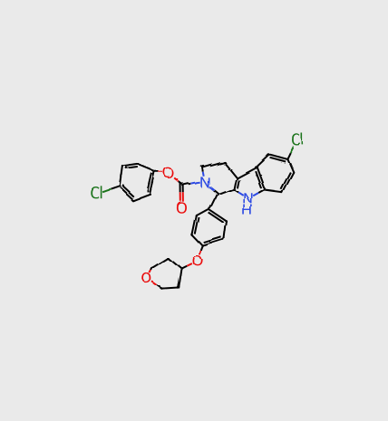 O=C(Oc1ccc(Cl)cc1)N1CCc2c([nH]c3ccc(Cl)cc23)C1c1ccc(OC2CCOCC2)cc1